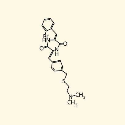 CN(C)CCSCc1ccc(C=c2[nH]c(=O)c(=Cc3ccccc3Br)[nH]c2=O)cc1